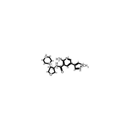 Cn1cc(-c2cnc(N)c(C(=O)N[C@H]3COC[C@@H]3N3CCOCC3)c2)cn1